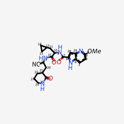 COc1ccc2[nH]c(C(=O)NC(CC3CC3)C(=O)NC(C#N)CC3CCCNC3=O)cc2n1